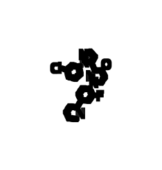 O=c1ccn(-c2ccc(-c3ccccn3)cc2F)nc1-c1ccnn1-c1cccc(Cl)c1